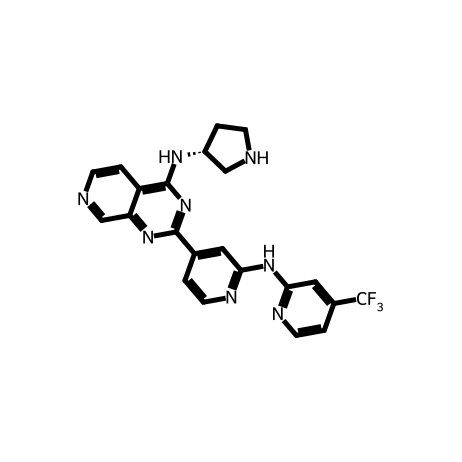 FC(F)(F)c1ccnc(Nc2cc(-c3nc(N[C@@H]4CCNC4)c4ccncc4n3)ccn2)c1